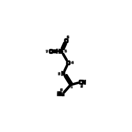 CCC(C)C(C#N)=NO[SH](=O)=O